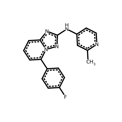 Cc1cc(Nc2nc3cccc(-c4ccc(F)cc4)n3n2)ccn1